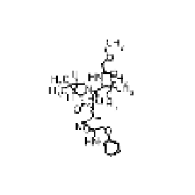 CCOCC(=O)N[C@H](C(=O)N1C[C@H]2[C@@H]([C@H]1C(=O)N[C@H](C#N)C[C@@H]1Oc3ccccc3NC1=O)C2(C)C)C(C)(C)C